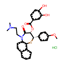 COc1ccc([C@@H]2Sc3c(ccc4ccccc34)N(CCN(C)C)C(=O)[C@@H]2OC(=O)c2ccc(O)c(O)c2)cc1.Cl